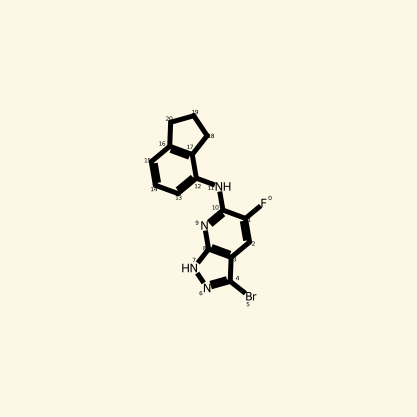 Fc1cc2c(Br)n[nH]c2nc1Nc1cccc2c1CCC2